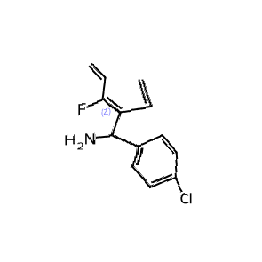 C=C/C(F)=C(\C=C)C(N)c1ccc(Cl)cc1